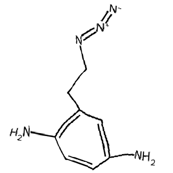 [N-]=[N+]=NCCc1cc(N)ccc1N